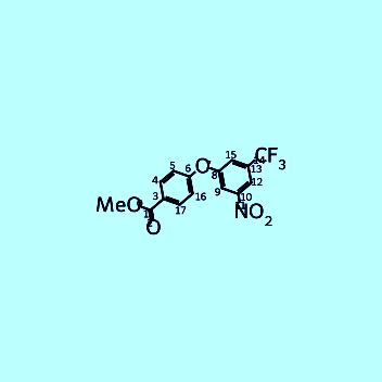 COC(=O)c1ccc(Oc2cc([N+](=O)[O-])cc(C(F)(F)F)c2)cc1